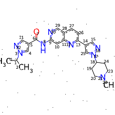 CC(C)n1cc(C(=O)Nc2cc3nc(-c4cnn(C5CCN(C)CC5)c4)ccc3cn2)cn1